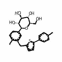 Cc1ccc(-c2ccc(Cc3cc(C4O[C@H](CO)[C@@H](O)[C@H](O)[C@H]4O)ccc3C)s2)cc1